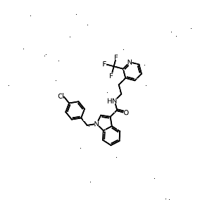 O=C(NCCc1cccnc1C(F)(F)F)c1cn(Cc2ccc(Cl)cc2)c2ccccc12